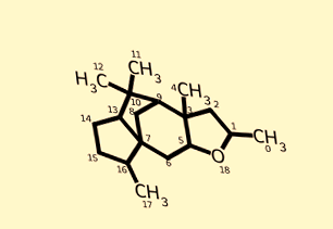 CC1CC2(C)C(CC34CC2C(C)(C)C3CCC4C)O1